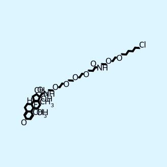 C[C@@H]1CC2[C@@H]3CCC4=CC(=O)C=C[C@]4(C)[C@@]3(F)[C@@H](O)C[C@]2(C)[C@@]1(O)C(=O)NCCOCCOCCOCCOCCC(=O)NCCOCCOCCCCCCCl